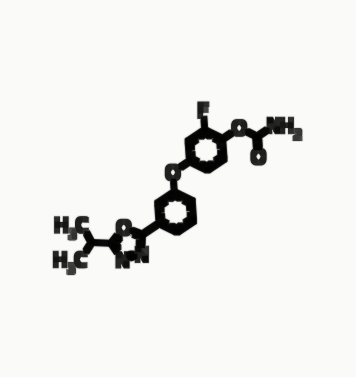 CC(C)c1nnc(-c2cccc(Oc3ccc(OC(N)=O)c(F)c3)c2)o1